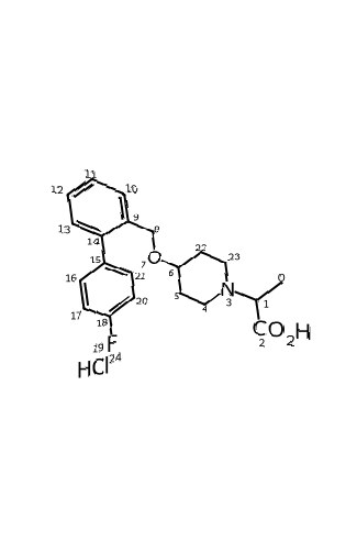 CC(C(=O)O)N1CCC(OCc2ccccc2-c2ccc(F)cc2)CC1.Cl